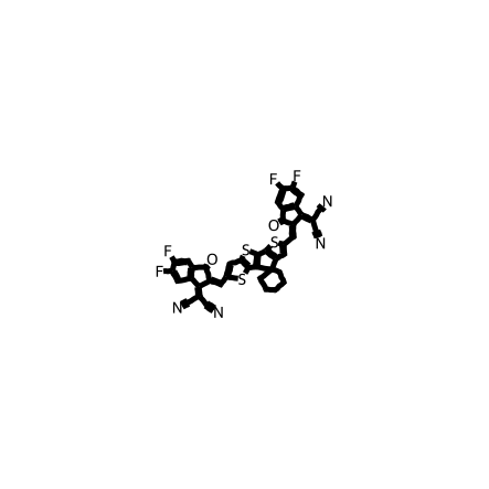 N#CC(C#N)=C1/C(=C/c2cc3c(s2)-c2sc4cc(/C=C5\C(=O)c6cc(F)c(F)cc6C5=C(C#N)C#N)sc4c2C32CCCCC2)C(=O)c2cc(F)c(F)cc21